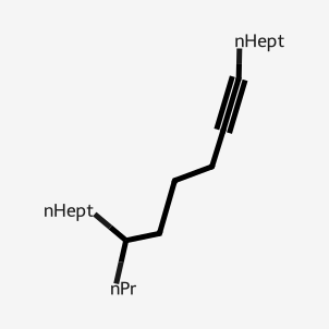 [CH2]CCCCCCC#CCCCC(CCC)CCCCCC[CH2]